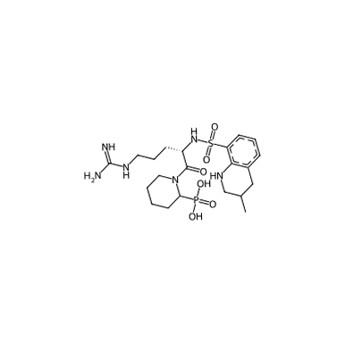 CC1CNc2c(cccc2S(=O)(=O)N[C@@H](CCCNC(=N)N)C(=O)N2CCCCC2P(=O)(O)O)C1